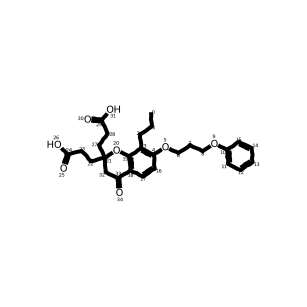 CCCc1c(OCCCOc2ccccc2)ccc2c1OC(CCC(=O)O)(CCC(=O)O)CC2=O